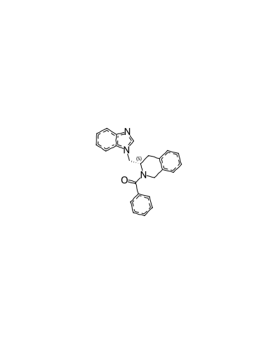 O=C(c1ccccc1)N1Cc2ccccc2C[C@H]1Cn1cnc2ccccc21